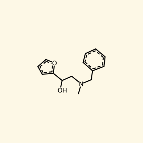 CN(Cc1ccccc1)CC(O)c1ccco1